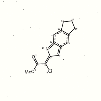 COC(=O)C(Cl)=C1[C]=c2cc3c(cc2=N1)CCC3